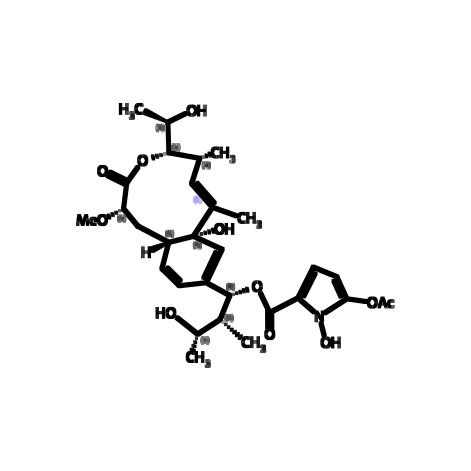 CO[C@H]1C[C@H]2C=CC([C@H](OC(=O)c3ccc(OC(C)=O)n3O)[C@H](C)[C@H](C)O)=C[C@]2(O)/C(C)=C/[C@@H](C)[C@@H]([C@@H](C)O)OC1=O